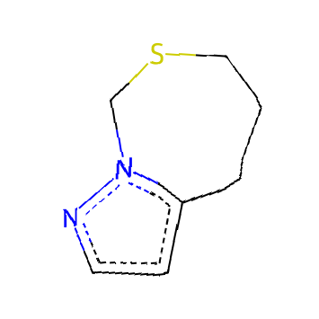 c1cc2n(n1)CSCCC2